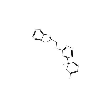 CC1(c2cnnc([AsH]Cc3nc4ccccc4s3)n2)C=CC=C(O)C1